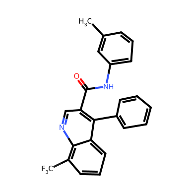 Cc1cccc(NC(=O)c2cnc3c(C(F)(F)F)cccc3c2-c2ccccc2)c1